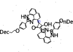 CCCCCCCCCCCCOc1ccc(B2N=c3/c(=C4\C(=O)C(c5ccc6cccc7c6c5NB(c5ccc(OCCCCCCCCCC)cc5)N7)=C4O)ccc4cccc(c34)N2)cc1